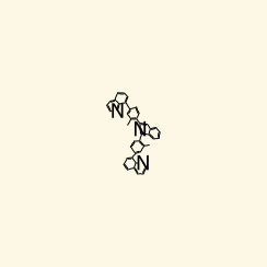 Cc1cc(-c2cccc3cccnc23)ccc1-c1cc2ccccc2c(-c2ccc(-c3cccc4cccnc34)cc2C)n1